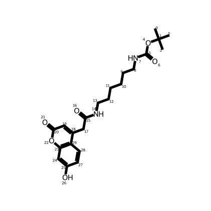 CC(C)(C)OC(=O)NCCCCCCNC(=O)Cc1cc(=O)oc2cc(O)ccc12